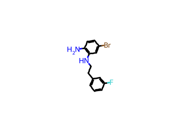 Nc1ccc(Br)cc1NCCc1cccc(F)c1